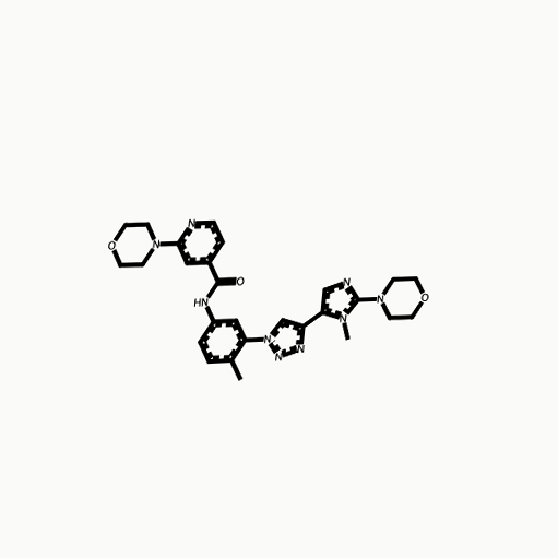 Cc1ccc(NC(=O)c2ccnc(N3CCOCC3)c2)cc1-n1cc(-c2cnc(N3CCOCC3)n2C)nn1